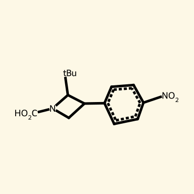 CC(C)(C)C1C(c2ccc([N+](=O)[O-])cc2)CN1C(=O)O